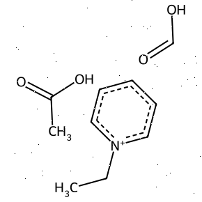 CC(=O)O.CC[n+]1ccccc1.O=CO